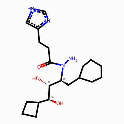 NN(C(=O)CCc1c[nH]cn1)[C@@H](CC1CCCCC1)[C@@H](O)[C@@H](O)C1CCC1